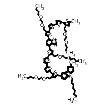 CCCCCCCCn1c2ccc(C)cc2c2cc(-c3cc(CCOCCOCCCC)c(-c4ccc(-c5ccc(-c6sc(-c7ccc(-c8cc(CCOCCOCCCC)c(-c9ccc(-c%10ccc(-c%11sc(C)cc%11CCOCCOCCCC)s%10)s9)s8)c8nsnc78)cc6CCOCCOCCCC)s5)s4)s3)ccc21